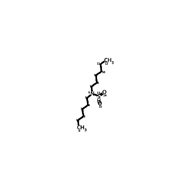 CCCCCCN(CCCCCC)[SH](=O)=O